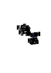 CC(=N)/C(=C\Nc1cnn(-c2c(C(F)(F)F)c(C(F)(F)C(F)(F)F)nn2C)c1)C(=O)NC1(C#N)CC1